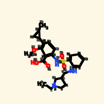 CCN1CCC(CNc2ccccc2S(=O)(=O)Nc2ccc(C3CC3C)c(OC)c2C(=O)O)C1